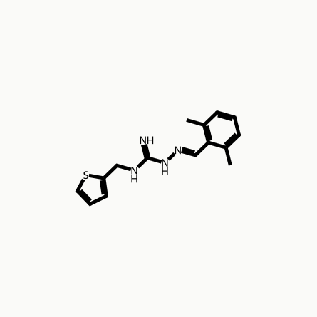 Cc1cccc(C)c1C=NNC(=N)NCc1cccs1